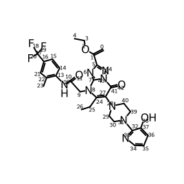 C=C(OCC)c1nc2n(CC(=O)Nc3ccc(C(F)(F)F)cc3C)c(CC)c(N3CCN(c4ncccc4O)CC3)c(=O)n2n1